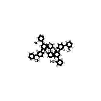 N#Cc1ccc(-n2c3ccc(-c4ccccc4C#N)cc3c3cc(-c4ccccc4C#N)ccc32)c(-c2ccncc2-n2c3ccc(-c4ccccc4C#N)cc3c3cc(-c4ccccc4C#N)ccc32)c1